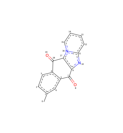 Cc1ccc2c(c1)C(=O)c1nc3ccccn3c1C2=O